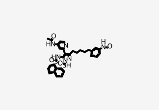 CC(=O)Nc1ccnc(-c2c(CCCCCc3cccc(NC=O)c3)nn(S)c2NS(=O)(=O)c2cccc3ccccc23)c1